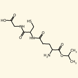 CC(C)OC(=O)C(N)CCC(=O)NC(CS)C(=O)NCC(=O)O